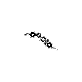 CCCc1ccc(-c2csc(N3CCN(S(=O)(=O)c4ccc([N+](=O)[O-])cc4)CC3)n2)cc1